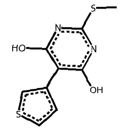 CSc1nc(O)c(-c2ccsc2)c(O)n1